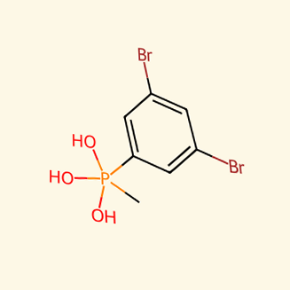 CP(O)(O)(O)c1cc(Br)cc(Br)c1